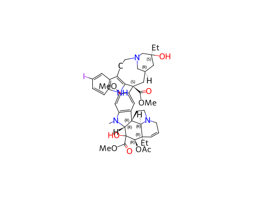 CC[C@]1(O)C[C@@H]2CN(CCc3c([nH]c4ccc(I)cc34)[C@@](C(=O)OC)(c3cc4c(cc3OC)N(C)[C@H]3C(O)(C(=O)OC)[C@H](OC(C)=O)[C@]5(CC)C=CCN6CC[C@]43[C@@H]65)C2)C1